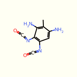 Cc1c(N)cc(N=C=O)c(N=C=O)c1N